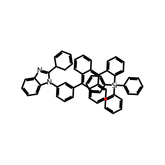 C1=CCC(c2nc3ccccc3n2-c2cccc(-c3c4ccccc4c(-c4ccccc4[Si](c4ccccc4)(c4ccccc4)c4ccccc4)c4ccccc34)c2)C=C1